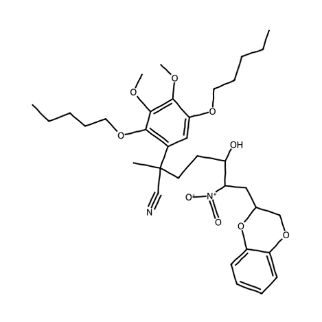 CCCCCOc1cc(C(C)(C#N)CCC(O)C(CC2COc3ccccc3O2)[N+](=O)[O-])c(OCCCCC)c(OC)c1OC